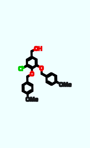 COc1ccc(COc2cc(CO)cc(Cl)c2OCc2ccc(OC)cc2)cc1